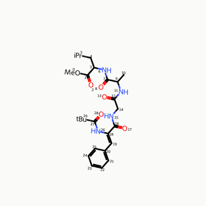 COC(=O)C(CC(C)C)NC(=O)C(C)NC(=O)CNC(=O)/C(=C/c1ccccc1)NC(=O)C(C)(C)C